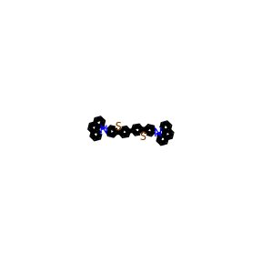 c1cc2ccc3cccc4c3c2c(c1)n4-c1ccc2c(c1)sc1cc(-c3ccc4c(c3)sc3cc(-n5c6cccc7ccc8cccc5c8c76)ccc34)ccc12